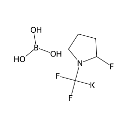 FC1CCCN1[C](F)(F)[K].OB(O)O